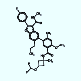 CCCc1cc2oc(-c3ccc(F)cc3)c(C(=O)NC)c2cc1-c1cc(C(=O)NC2(C)CC(OC(F)F)C2)c(OC)cc1C